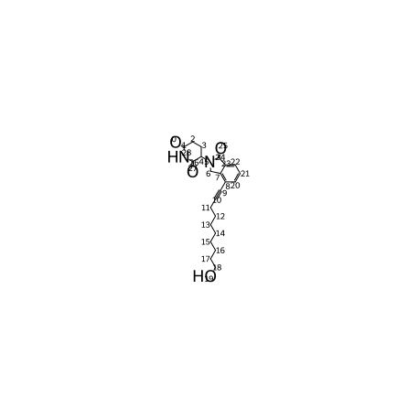 O=C1CCC(N2Cc3c(C#CCCCCCCCCO)cccc3C2=O)C(=O)N1